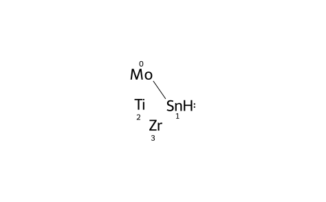 [Mo][SnH].[Ti].[Zr]